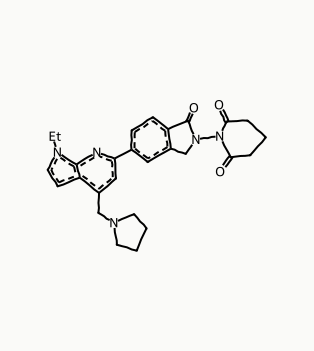 CCn1ccc2c(CN3CCCC3)cc(-c3ccc4c(c3)CN(N3C(=O)CCCC3=O)C4=O)nc21